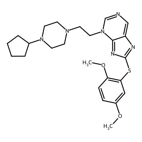 COc1ccc(OC)c(Sc2nc3cncn(CCN4CCN(C5CCCC5)CC4)c-3n2)c1